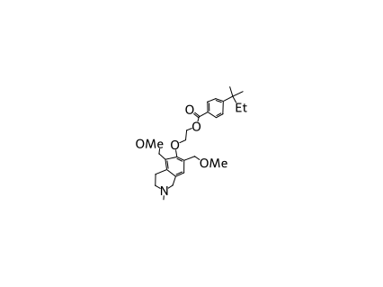 CCC(C)(C)c1ccc(C(=O)OCCOc2c(COC)cc3c(c2COC)CCN(C)C3)cc1